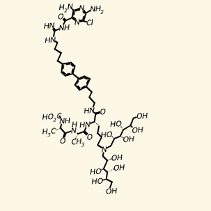 C[C@H](NC(=O)O)C(=O)N[C@@H](C)C(=O)N[C@@H](CCCCN(C[C@H](O)[C@@H](O)[C@H](O)[C@H](O)CO)C[C@H](O)[C@@H](O)[C@H](O)[C@H](O)CO)C(=O)NCCCc1ccc(-c2ccc(CCCCNC(=N)NC(=O)c3nc(Cl)c(N)nc3N)cc2)cc1